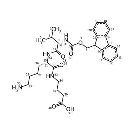 CC(C)[C@H](NC(=O)OCC1c2ccccc2-c2ccccc21)C(=O)N[C@@H](CCCCN)C(=O)NCCCC(=O)O